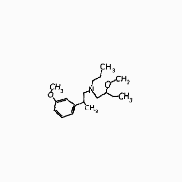 CCCN(CC(CC)OC)CC(C)c1cccc(OC)c1